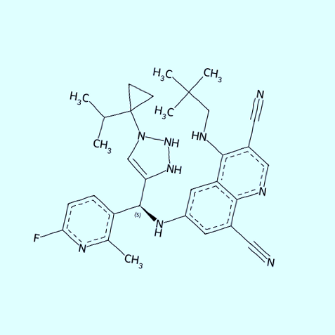 Cc1nc(F)ccc1[C@H](Nc1cc(C#N)c2ncc(C#N)c(NCC(C)(C)C)c2c1)C1=CN(C2(C(C)C)CC2)NN1